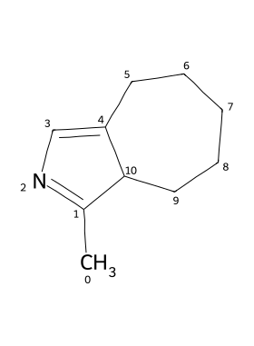 CC1=NC=C2CCCCCC21